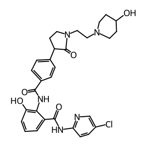 O=C(Nc1c(O)cccc1C(=O)Nc1ccc(Cl)cn1)c1ccc(C2CCN(CCN3CCC(O)CC3)C2=O)cc1